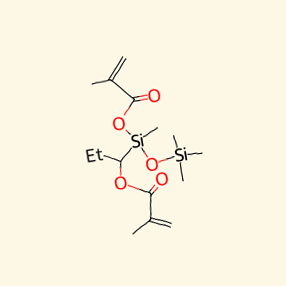 C=C(C)C(=O)OC(CC)[Si](C)(OC(=O)C(=C)C)O[Si](C)(C)C